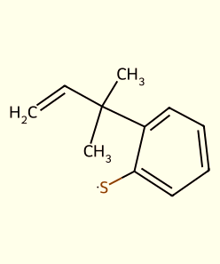 C=CC(C)(C)c1ccccc1[S]